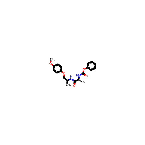 CC(COc1ccc(OC(F)(F)F)cc1)NC(=O)[C@@H](NC(=O)Oc1ccccc1)C(C)C